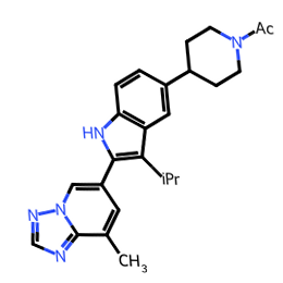 CC(=O)N1CCC(c2ccc3[nH]c(-c4cc(C)c5ncnn5c4)c(C(C)C)c3c2)CC1